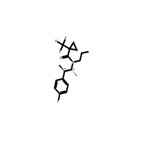 CCCN(C(=O)C1(C(F)(F)F)CC1)[C@H](C)[C@H](C)c1ccc(F)cc1